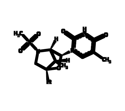 CC[C@@]12CN(S(C)(=O)=O)[C@@H]([C@H](n3cc(C)c(=O)[nH]c3=O)O1)[C@@H]2C